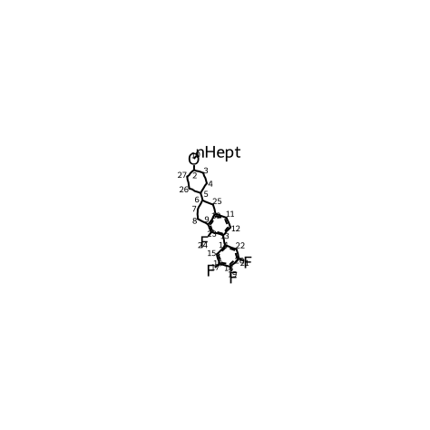 CCCCCCCOC1CCC(C2CCc3c(ccc(-c4cc(F)c(F)c(F)c4)c3F)C2)CC1